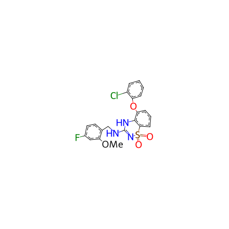 COc1cc(F)ccc1CNC1=NS(=O)(=O)c2cccc(Oc3ccccc3Cl)c2N1